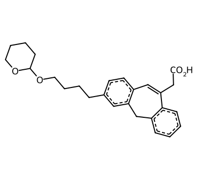 O=C(O)CC1=Cc2ccc(CCCCOC3CCCCO3)cc2Cc2ccccc21